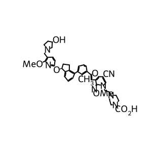 CO/N=c1/c2cc(-c3cccc(-c4cccc5c4CC[C@@H]5Oc4ccc(CN5CC[C@@H](O)C5)c(OC)n4)c3C)oc2c(C#N)cn1CCN1CCN(C(=O)O)CC1